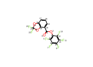 O=C(Oc1c(F)c(F)c(F)c(F)c1F)c1cccc2c1OC(F)(F)O2